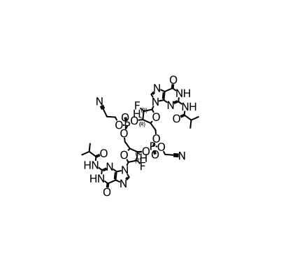 CC(C)C(=O)Nc1nc2c(ncn2C2OC3COP(=O)(OCCC#N)O[C@@H]4C(COP(=O)(OCC#N)O[C@H]3[C@H]2F)OC(n2cnc3c(=O)[nH]c(NC(=O)C(C)C)nc32)[C@@H]4F)c(=O)[nH]1